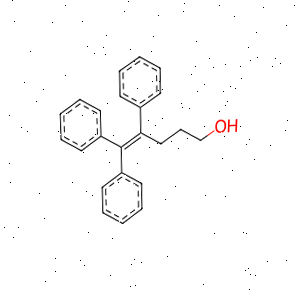 OCCCC(=C(c1ccccc1)c1ccccc1)c1ccccc1